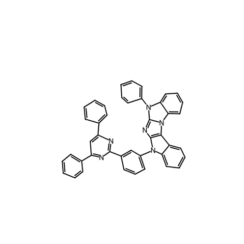 c1ccc(-c2cc(-c3ccccc3)nc(-c3cccc(-n4c5ccccc5c5c4nc4n(-c6ccccc6)c6ccccc6n54)c3)n2)cc1